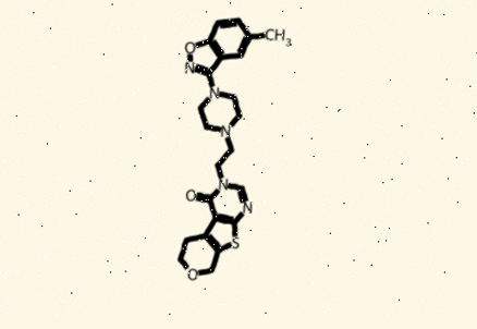 Cc1ccc2onc(N3CCN(CCn4cnc5sc6c(c5c4=O)CCOC6)CC3)c2c1